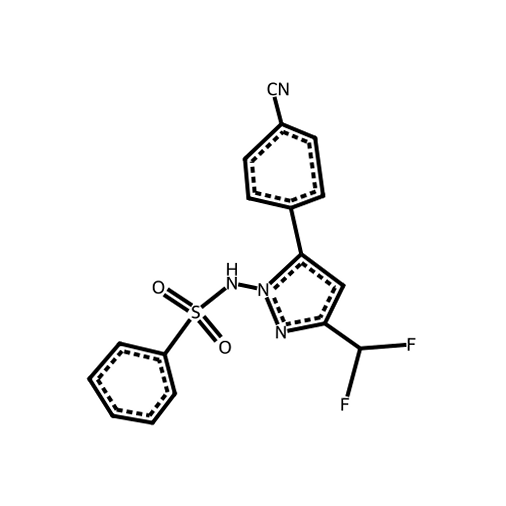 N#Cc1ccc(-c2cc(C(F)F)nn2NS(=O)(=O)c2ccccc2)cc1